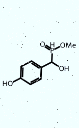 CO[PH](=O)C(O)c1ccc(O)cc1